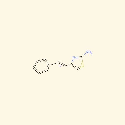 Nc1nc(/C=C/c2ccccc2)cs1